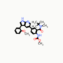 COC(=O)Nc1ccc(-c2cnc3[nH]cc(-c4ccccc4OC)c3c2)cc1C(=O)N(C)C(C)(C)C